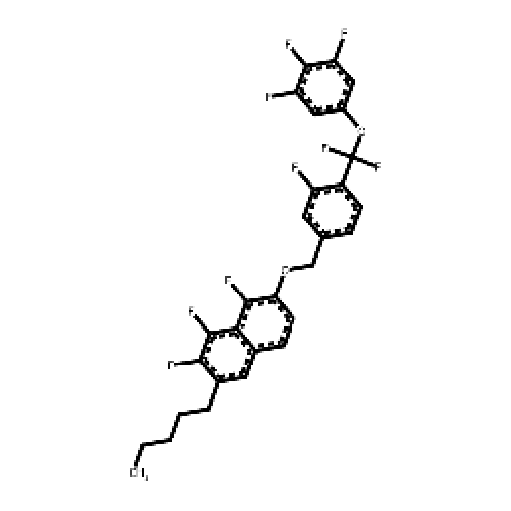 CCCCCc1cc2ccc(OCc3ccc(C(F)(F)Oc4cc(F)c(F)c(F)c4)c(F)c3)c(F)c2c(F)c1F